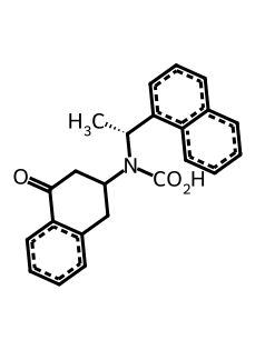 C[C@H](c1cccc2ccccc12)N(C(=O)O)C1CC(=O)c2ccccc2C1